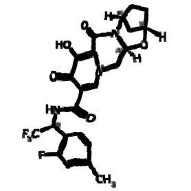 Cc1ccc([C@H](NC(=O)c2cn3c(c(O)c2=O)C(=O)N2[C@@H]4CC[C@@H](C4)O[C@H]2C3)C(F)(F)F)c(F)c1